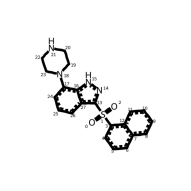 O=S(=O)(c1cccc2ccccc12)c1n[nH]c2c(N3CCNCC3)cccc12